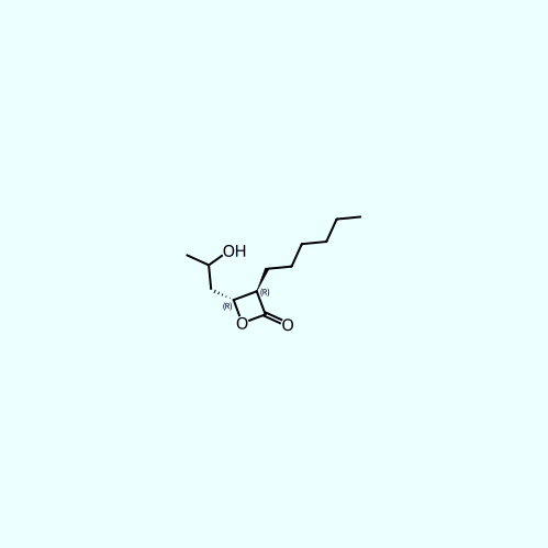 CCCCCC[C@H]1C(=O)O[C@@H]1CC(C)O